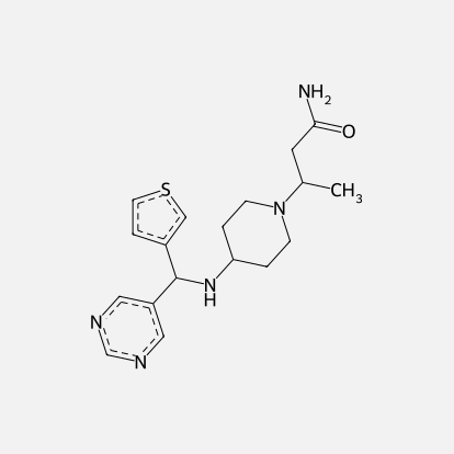 CC(CC(N)=O)N1CCC(NC(c2cncnc2)c2ccsc2)CC1